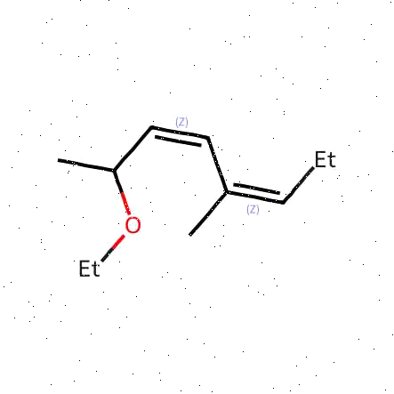 CC/C=C(C)\C=C/C(C)OCC